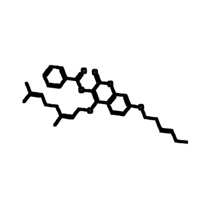 CCC=CCCOc1ccc2c(OCC=C(C)CCC=C(C)C)c(OC(=O)c3ccccc3)c(=O)oc2c1